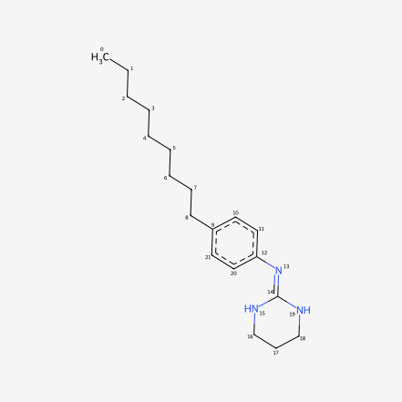 CCCCCCCCCc1ccc(N=C2NCCCN2)cc1